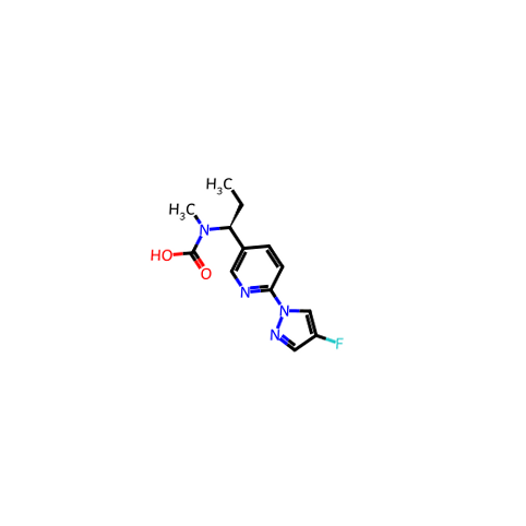 CC[C@@H](c1ccc(-n2cc(F)cn2)nc1)N(C)C(=O)O